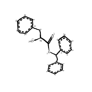 O=C(OC(c1ccccc1)c1ccccc1)[C@@H](O)Cc1ccccc1